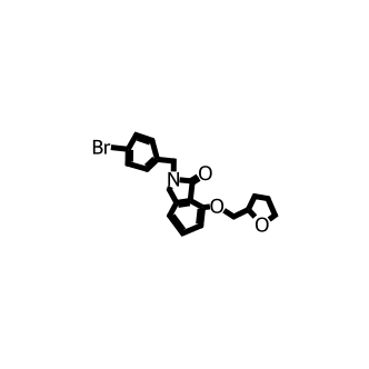 O=C1c2c(cccc2OCC2CCCO2)CN1Cc1ccc(Br)cc1